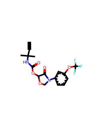 C#CC(C)(C)NC(=O)OC1OCN(c2cccc(OC(F)(F)F)c2)C1=O